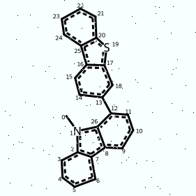 Cn1c2ccccc2c2cccc(-c3ccc4c(c3)sc3ccccc34)c21